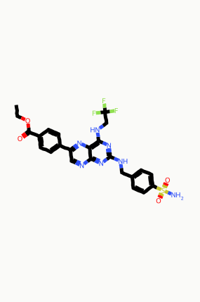 CCOC(=O)c1ccc(-c2cnc3nc(NCc4ccc(S(N)(=O)=O)cc4)nc(NCC(F)(F)F)c3n2)cc1